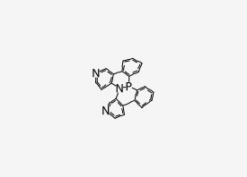 c1ccc2c(c1)-c1cnccc1N1c3cnccc3-c3ccccc3P21